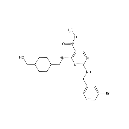 CO[N+](=O)c1cnc(NCc2cccc(Br)c2)nc1NCC1CCC(CO)CC1